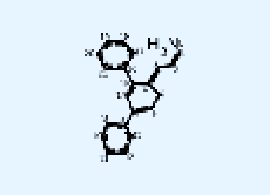 N/C=C\C=C1/CC=C(c2ccccc2)C=C1c1ccccc1